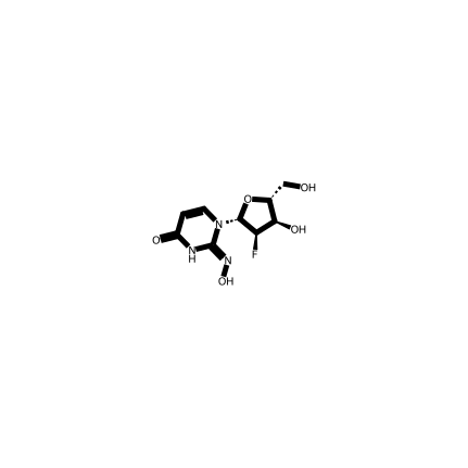 O=c1ccn([C@@H]2O[C@H](CO)[C@@H](O)[C@H]2F)/c(=N/O)[nH]1